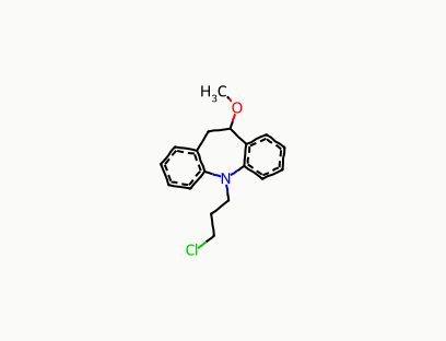 COC1Cc2ccccc2N(CCCCl)c2ccccc21